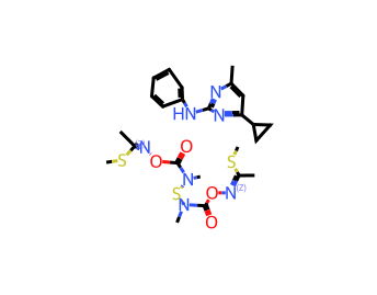 CS/C(C)=N\OC(=O)N(C)SN(C)C(=O)O/N=C(/C)SC.Cc1cc(C2CC2)nc(Nc2ccccc2)n1